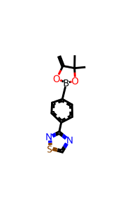 C=C1OB(c2ccc(-c3ncsn3)cc2)OC1(C)C